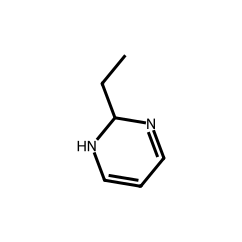 CCC1N=CC=CN1